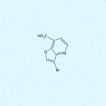 O=C(O)c1ccnc2c(Br)coc12